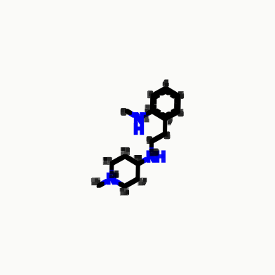 CNc1ccccc1CCNC1CCN(C)CC1